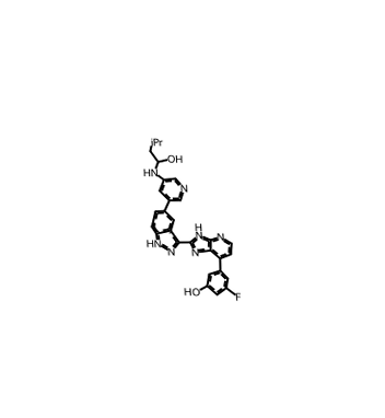 CC(C)CC(O)Nc1cncc(-c2ccc3[nH]nc(-c4nc5c(-c6cc(O)cc(F)c6)ccnc5[nH]4)c3c2)c1